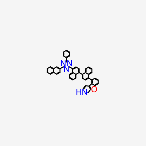 C1=Cc2c(oc3cccc(-c4ccc(-c5ccc(-c6nc(-c7ccccc7)nc(-c7ccc8ccccc8c7)n6)c6ccccc56)c5ccccc45)c23)CN1